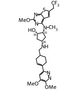 COc1nc(N(C)[C@H]2C[C@@H](NCC3CC=C(c4cc(OC)c(OC)nn4)CC3)C[C@H]2O)c2cc(CC(F)(F)F)sc2n1